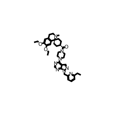 CCOc1cc2c(cc1OCC)[C@]1(CC[C@H](C(=O)N3CCN(c4ncnc5c4cnn5Cc4cccc(CC)n4)CC3)CC1)N(C)CC2